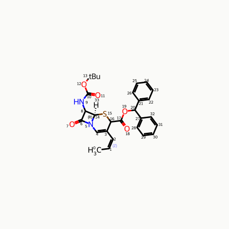 C/C=C\C1=CN2C(=O)C(NC(=O)OC(C)(C)C)[C@H]2SC1C(=O)OC(c1ccccc1)c1ccccc1